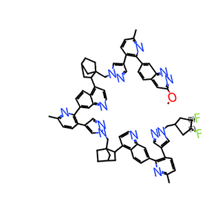 COc1cc2ccc(-c3nc(C)ccc3-c3cnn(CC45CCC(CC4c4ccnc6cc(-c7nc(C)ccc7-c7cnn(CC89CCC(CC8c8ccnc%10cc(-c%11nc(C)ccc%11-c%11cnn(CC%12C[C@@H](F)[C@@H](F)C%12)c%11)ccc8%10)C9)c7)ccc46)C5)c3)cc2nn1